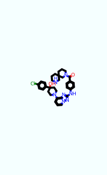 O=C(c1ccc(Nc2nc3c(N4CCC(O)(c5ccc(Cl)cc5)CC4)cccn3n2)cc1)N1CCCC2(CCCNC2)C1